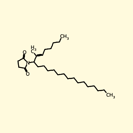 CCCCC/C=C(\C)C(CCCCCCCCCCCCCCC)N1C(=O)CCC1=O